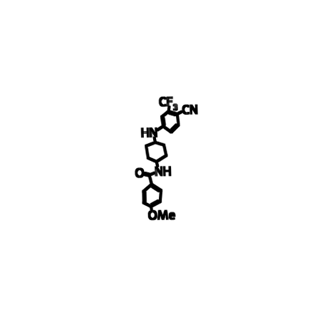 COc1ccc(C(=O)NC2CCC(Nc3ccc(C#N)c(C(F)(F)F)c3)CC2)cc1